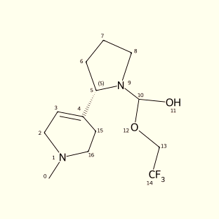 CN1CC=C([C@@H]2CCCN2C(O)OCC(F)(F)F)CC1